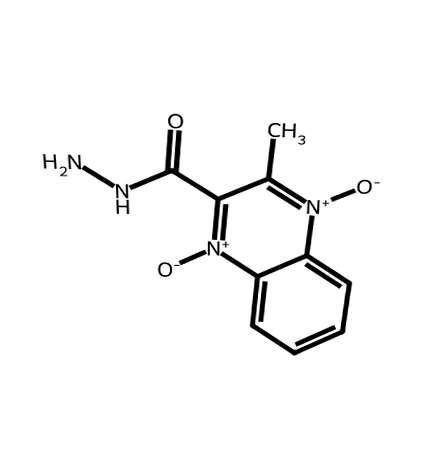 Cc1c(C(=O)NN)[n+]([O-])c2ccccc2[n+]1[O-]